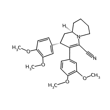 COc1ccc(C2=C(C#N)N3CCCC[C@@H]3C[C@H]2c2ccc(OC)c(OC)c2)cc1OC